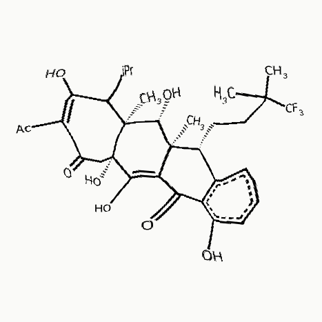 CC(=O)C1=C(O)C(C(C)C)[C@@]2(C)[C@H](O)[C@]3(C)C(=C(O)[C@@]2(O)C1=O)C(=O)c1c(O)cccc1[C@H]3CCC(C)(C)C(F)(F)F